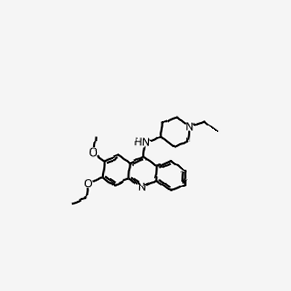 CCOc1cc2nc3ccccc3c(NC3CCN(CC)CC3)c2cc1OC